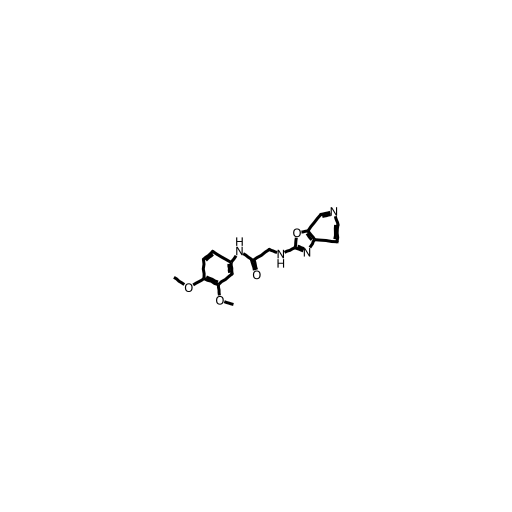 COc1ccc(NC(=O)CNc2nc3ccncc3o2)cc1OC